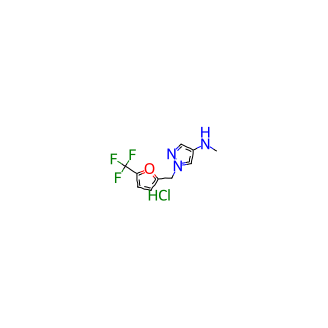 CNc1cnn(Cc2ccc(C(F)(F)F)o2)c1.Cl